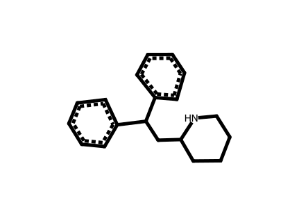 c1ccc(C(CC2CCCCN2)c2ccccc2)cc1